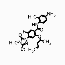 C=CCC(C)Oc1cc(-n2nc(CC)n(C)c2=O)c(F)cc1C(=O)Nc1ccc(N)cc1C